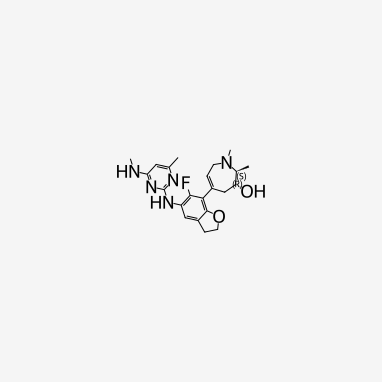 CNc1cc(C)nc(Nc2cc3c(c(C4=CCN(C)[C@@H](C)[C@H](O)C4)c2F)OCC3)n1